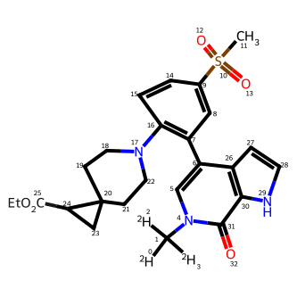 [2H]C([2H])([2H])n1cc(-c2cc(S(C)(=O)=O)ccc2N2CCC3(CC2)CC3C(=O)OCC)c2cc[nH]c2c1=O